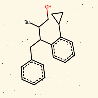 CCC(C)C(CO)[C](Cc1ccccc1)c1ccccc1C1CC1